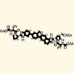 COC[C@H]1C[C@@H](c2nc3ccc4cc5c(cc4c3[nH]2)OCc2cc(-c3ccc4nc([C@@H]6CCCN6C(=O)[C@@H](NC(=O)OC)C(C)C)[nH]c4c3)ccc2-5)N(C(O)[C@@H](NC(=O)OC)C(C)C)C1